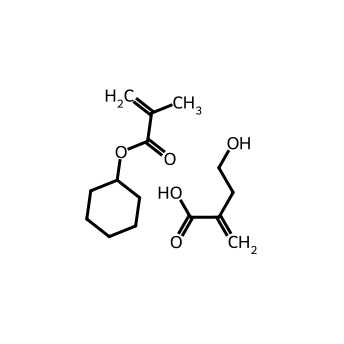 C=C(C)C(=O)OC1CCCCC1.C=C(CCO)C(=O)O